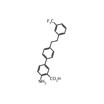 Nc1ccc(-c2ccc(CCc3cccc(C(F)(F)F)c3)cc2)cc1C(=O)O